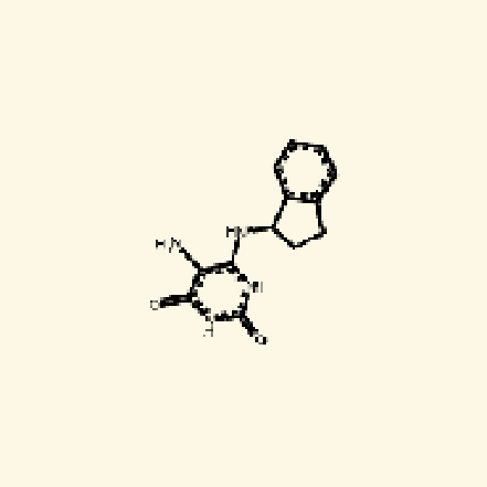 Nc1c(NC2CCc3ccccc32)[nH]c(=O)[nH]c1=O